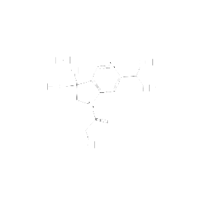 CCCC(O)c1cc2c(cn1)C(C)(C)CN2C(=O)CCl.Cl